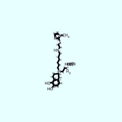 Br.Br.Br.CCCN(CCCCCCNCCSc1nccn1C)[C@H]1CCc2c(ccc(O)c2O)C1